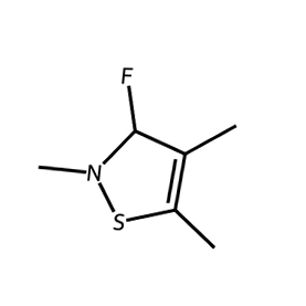 CC1=C(C)C(F)N(C)S1